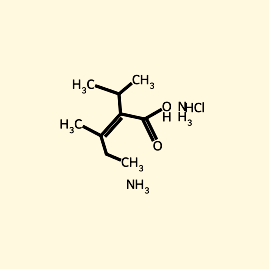 CCC(C)=C(C(=O)O)C(C)C.Cl.N.N